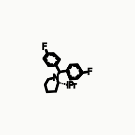 CC(C)[C@@H]1CCCCN1C(c1ccc(F)cc1)c1ccc(F)cc1